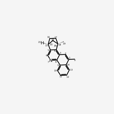 Cc1cc2c3c(cnc2c2ccccc12)[C@H]1CC[C@]3(C)C1